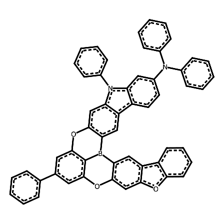 c1ccc(-c2cc3c4c(c2)Oc2cc5c(cc2B4c2cc4c(cc2O3)oc2ccccc24)c2ccc(N(c3ccccc3)c3ccccc3)cc2n5-c2ccccc2)cc1